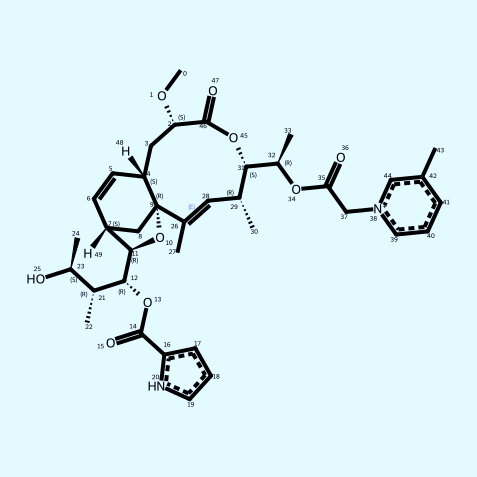 CO[C@H]1C[C@H]2C=C[C@@H]3C[C@]2(O[C@H]3[C@H](OC(=O)c2ccc[nH]2)[C@H](C)[C@H](C)O)/C(C)=C/[C@@H](C)[C@@H]([C@@H](C)OC(=O)C[n+]2cccc(C)c2)OC1=O